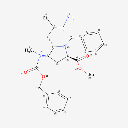 CCC(CN)C[C@H]1[C@H](N(C)C(=O)OCc2ccccc2)C[C@H](C(=O)OC(C)(C)C)N1Cc1ccccc1